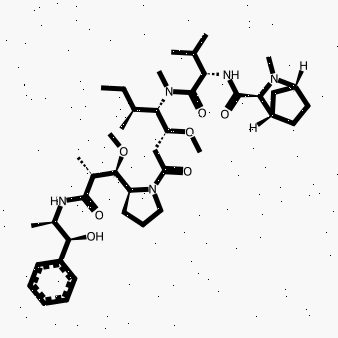 CC[C@H](C)[C@@H]([C@@H](CC(=O)N1CCC[C@H]1[C@H](OC)[C@@H](C)C(=O)N[C@H](C)[C@@H](O)c1ccccc1)OC)N(C)C(=O)[C@@H](NC(=O)[C@@H]1[C@H]2CC[C@H](C2)N1C)C(C)C